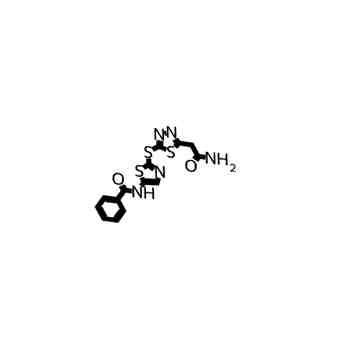 NC(=O)Cc1nnc(Sc2ncc(NC(=O)c3ccccc3)s2)s1